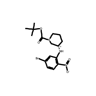 CC(C)(C)OC(=O)N1CCC[C@H](Nc2cc(Br)ccc2[N+](=O)[O-])C1